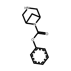 O=C(Oc1ccccc1)N1C2CNCC1C2